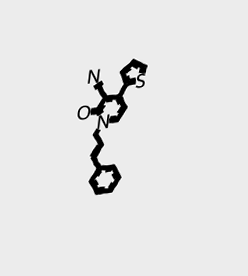 N#Cc1c(-c2cccs2)ccn(C/C=C/c2ccccc2)c1=O